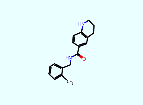 O=C(NCc1ccccc1C(F)(F)F)c1ccc2c(c1)CCCN2